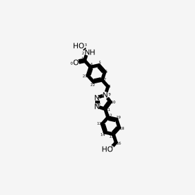 O=C(NO)c1ccc(Cn2cc(-c3ccc(CO)cc3)nn2)cc1